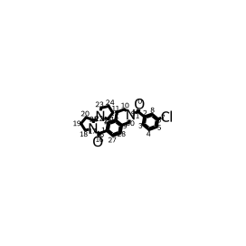 O=C(c1cccc(Cl)c1)N1CCc2cc(C(=O)N3CCCC3N3CCCC3)ccc2C1